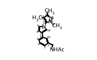 CC(=O)NCc1cccc(-c2ccn(-c3c(C)c(C)nn3C)c2)c1